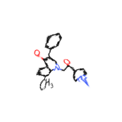 Cc1ccc2c(=O)c(-c3ccccc3)cn(CC(=O)c3ccncc3)c2c1